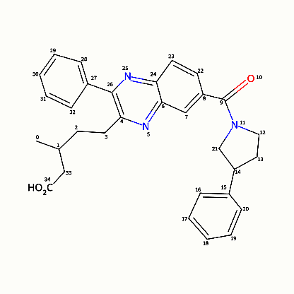 CC(CCc1nc2cc(C(=O)N3CCC(c4ccccc4)C3)ccc2nc1-c1ccccc1)CC(=O)O